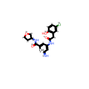 C/C(=C\C(=C/C=N)NC(=O)Cc1cc(Cl)ccc1O)C(=O)NC1CCOC1